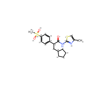 Cc1csc(NC(=O)C(CC2CCCC2)c2ccc(S(C)(=O)=O)cc2)n1